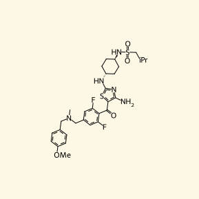 COc1ccc(CN(C)Cc2cc(F)c(C(=O)c3sc(N[C@H]4CC[C@H](NS(=O)(=O)CC(C)C)CC4)nc3N)c(F)c2)cc1